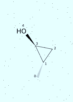 C[C@H]1C[C@@H]1O